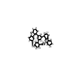 N#Cc1ccc2sc3cccc(-c4cc(-c5ccccc5C#N)cc(-c5cccc6c5sc5ccccc56)c4)c3c2c1